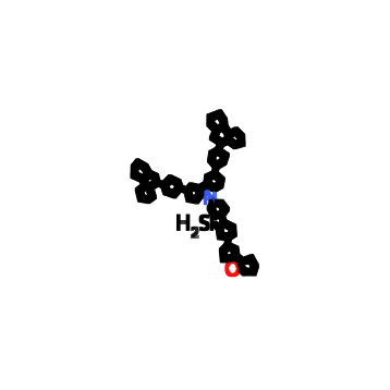 c1ccc2c(c1)cc(-c1ccc(-c3ccc4c(c3)c3cc(-c5ccc(-c6cc7ccccc7c7ccccc67)cc5)ccc3n4-c3ccc4c(c3)[SiH2]c3cc(-c5ccc6oc7ccccc7c6c5)ccc3-4)cc1)c1ccccc12